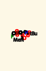 CNC(=O)COc1cc(S(=O)(=O)C2C=CC=C(F)C2)ccc1C1CCN(C(=O)OC(C)(C)C)C1